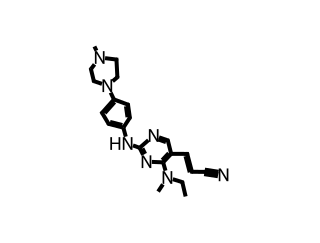 CCN(C)c1nc(Nc2ccc(N3CCN(C)CC3)cc2)ncc1/C=C/C#N